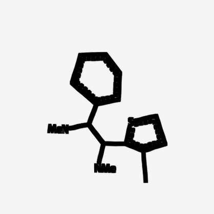 CNC(c1ccccc1)C(NC)c1sccc1C